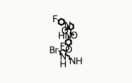 N=C/C=C1\NC=C(Br)C=C1Oc1ccc(NC(=O)c2cccn(-c3ccc(F)cc3)c2=O)cc1F